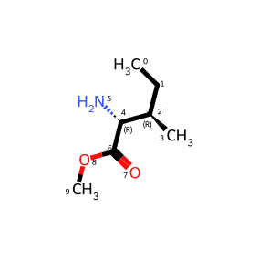 CC[C@@H](C)[C@@H](N)C(=O)OC